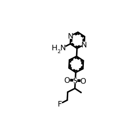 CC(CCF)S(=O)(=O)c1ccc(-c2nccnc2N)cc1